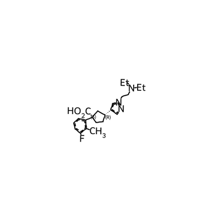 CCN(CC)CCn1cc([C@@H]2CC[C@@](C(=O)O)(c3cccc(F)c3C)C2)cn1